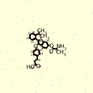 CC(N)C(=O)Oc1ccc2c(Oc3ccc(/C=C/C(=O)O)cc3)c(-c3ccccc3C(C)C)sc2c1